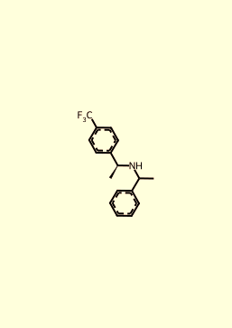 CC(N[C@@H](C)c1ccc(C(F)(F)F)cc1)c1ccccc1